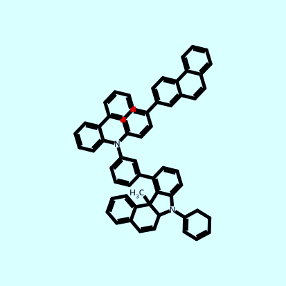 CC12c3ccccc3C=CC1N(C1=CC=CCC1)c1cccc(-c3cccc(N(c4ccc(-c5ccc6c(ccc7ccccc76)c5)cc4)c4ccccc4-c4ccccc4)c3)c12